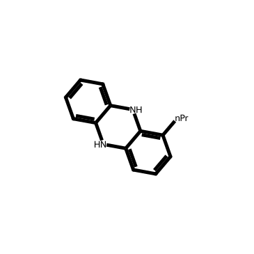 CCCc1cccc2c1Nc1ccccc1N2